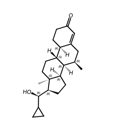 C[C@@H]1CC2=CC(=O)CC[C@@H]2[C@H]2CC[C@@]3(C)[C@H](CC[C@H]3[C@H](O)C3CC3)[C@@H]21